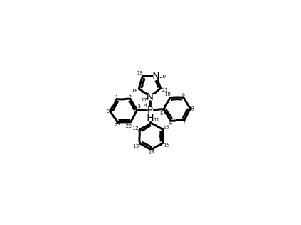 c1ccc([PH](c2ccccc2)(c2ccccc2)n2ccnc2)cc1